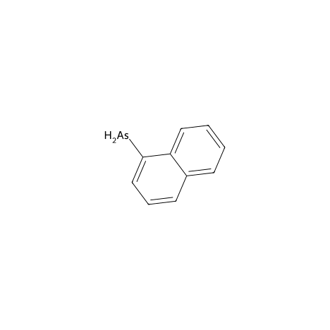 [AsH2]c1cccc2ccccc12